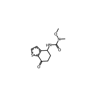 CON(C)C(=O)NC1CCC(=O)c2sccc21